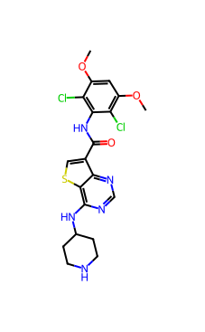 COc1cc(OC)c(Cl)c(NC(=O)c2csc3c(NC4CCNCC4)ncnc23)c1Cl